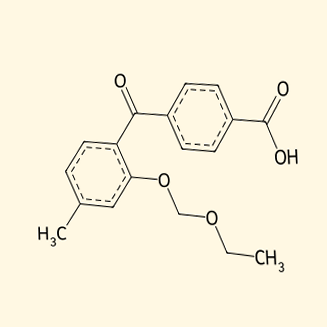 CCOCOc1cc(C)ccc1C(=O)c1ccc(C(=O)O)cc1